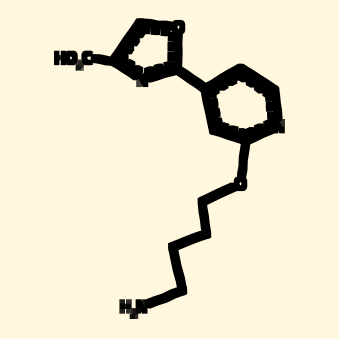 NCCCCOc1cc(-c2nc(C(=O)O)co2)ccn1